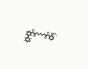 Nc1ccccc1NC(=O)CCCCCC(=O)Nc1cncc(-c2cccnc2)c1